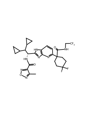 Cc1nonc1C(=O)N[C@@H](c1nc2nc(C3(C(=O)NCC(F)(F)F)CCC(F)(F)CC3)ccc2[nH]1)C(C1CC1)C1CC1